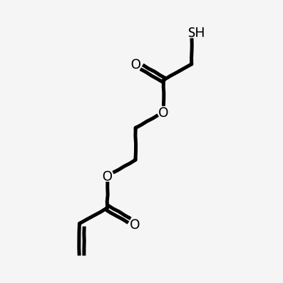 C=CC(=O)OCCOC(=O)CS